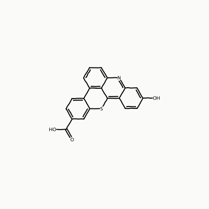 O=C(O)c1ccc2c(c1)Sc1c3ccc(O)cc3nc3cccc-2c13